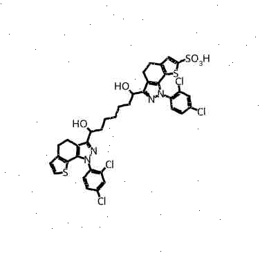 O=S(=O)(O)c1cc2c(s1)-c1c(c(C(O)CCCCCC(O)c3nn(-c4ccc(Cl)cc4Cl)c4c3CCc3ccsc3-4)nn1-c1ccc(Cl)cc1Cl)CC2